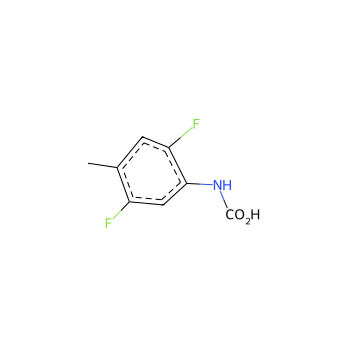 Cc1cc(F)c(NC(=O)O)cc1F